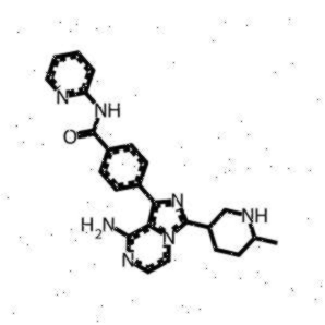 CC1CCC(c2nc(-c3ccc(C(=O)Nc4ccccn4)cc3)c3c(N)nccn23)CN1